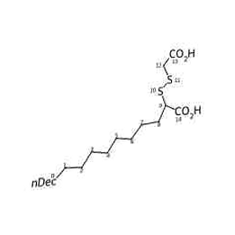 CCCCCCCCCCCCCCCCCCC(SSCC(=O)O)C(=O)O